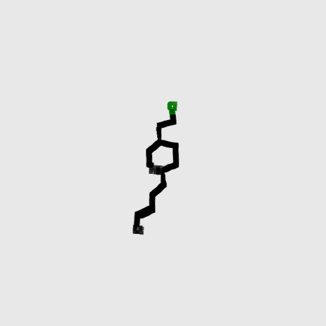 CCC=CCC[Si@H]1CC[C@H](CCCl)CC1